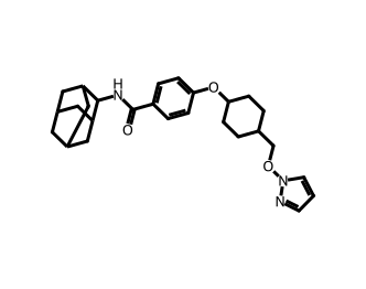 O=C(NC1C2CC3CC(C2)CC1C3)c1ccc(OC2CCC(COn3cccn3)CC2)cc1